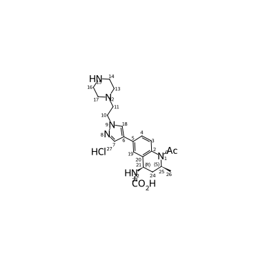 CC(=O)N1c2ccc(-c3cnn(CCN4CCNCC4)c3)cc2[C@H](NC(=O)O)C[C@@H]1C.Cl